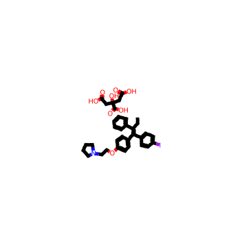 CC/C(=C(\c1ccc(I)cc1)c1ccc(OCCN2CCCC2)cc1)c1ccccc1.O=C(O)CC(O)(CC(=O)O)C(=O)O